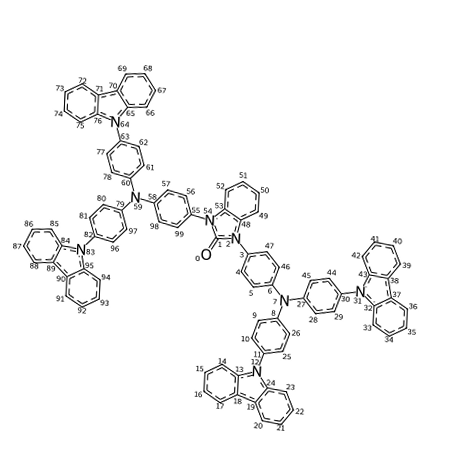 O=c1n(-c2ccc(N(c3ccc(-n4c5ccccc5c5ccccc54)cc3)c3ccc(-n4c5ccccc5c5ccccc54)cc3)cc2)c2ccccc2n1-c1ccc(N(c2ccc(-n3c4ccccc4c4ccccc43)cc2)c2ccc(-n3c4ccccc4c4ccccc43)cc2)cc1